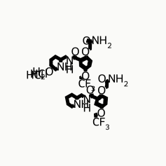 Cl.Cl.NC(=O)COc1ccc(OCC(F)(F)F)cc1C(=O)NCC1CCCCN1.NC(=O)COc1ccc(OCC(F)(F)F)cc1C(=O)NCC1CCCCN1.O